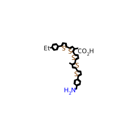 CCc1ccc(-c2ccc(-c3cc(CC(=O)O)c(-c4ccc(-c5sc(-c6ccc(-c7ccc(CN)cc7)s6)cc5C)s4)s3)s2)cc1